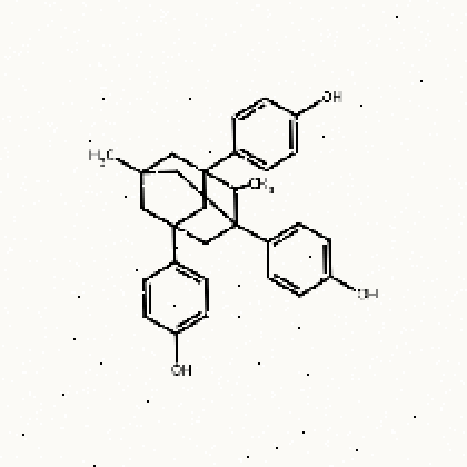 CC1C2(c3ccc(O)cc3)CC3(C)CC(c4ccc(O)cc4)(C2)CC1(c1ccc(O)cc1)C3